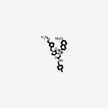 COc1ccc2ccc(S(=O)(=O)N(CC(=O)NCc3ccc(C)cc3)[C@H]3CCN(Cc4cccc(C=NN)c4)C3=O)cc2c1